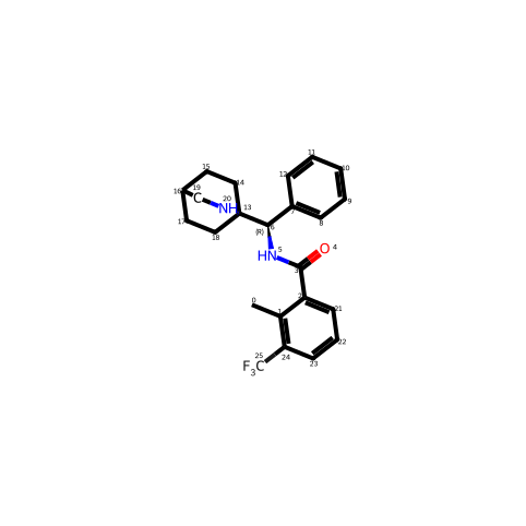 Cc1c(C(=O)N[C@H](c2ccccc2)C23CCC(CC2)CN3)cccc1C(F)(F)F